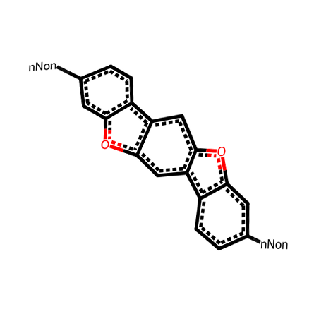 CCCCCCCCCc1ccc2c(c1)oc1cc3c(cc12)oc1cc(CCCCCCCCC)ccc13